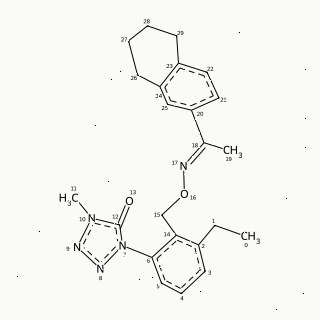 CCc1cccc(-n2nnn(C)c2=O)c1CON=C(C)c1ccc2c(c1)CCCC2